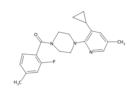 Cc1ccc(C(=O)N2CCN(c3ncc(C)cc3C3CC3)CC2)c(F)c1